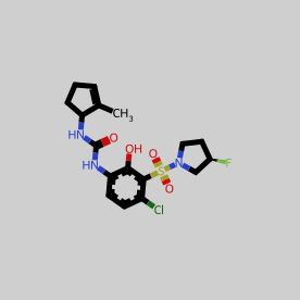 CC1=CCCC1NC(=O)Nc1ccc(Cl)c(S(=O)(=O)N2CC[C@@H](F)C2)c1O